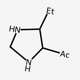 CCC1NCNC1C(C)=O